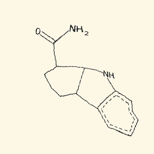 NC(=O)C1CCC2c3ccccc3NC12